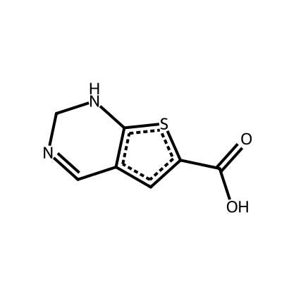 O=C(O)c1cc2c(s1)NCN=C2